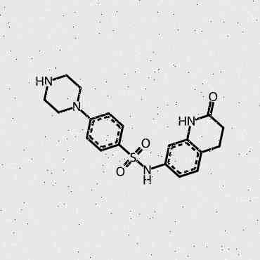 O=C1CCc2ccc(NS(=O)(=O)c3ccc(N4CCNCC4)cc3)cc2N1